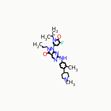 C=CCn1c(=O)c2cnc(Nc3ccc(C4CCN(C)CC4)c(C)c3)nc2n1-c1cc(F)c(=O)n(C(C)C)c1